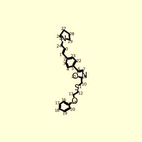 C(=Cc1ccc(-c2cnc(CSCCOc3ccccc3)o2)cc1)CN1CCCC1